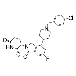 O=C1CCC(N2Cc3c(cc(F)cc3C3CCN(Cc4ccc(Cl)cc4)CC3)C2=O)C(=O)N1